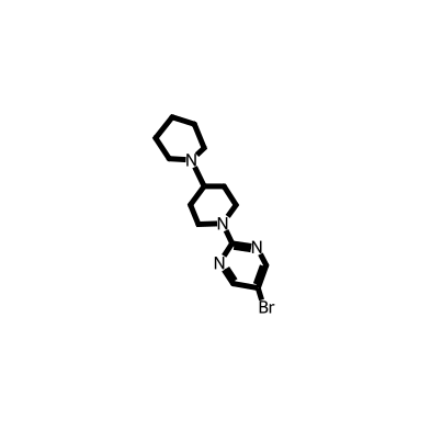 Brc1cnc(N2CCC(N3CCCCC3)CC2)nc1